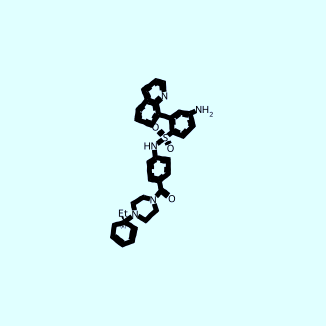 CC[C@]1(N2CCN(C(=O)c3ccc(NS(=O)(=O)c4ccc(N)cc4-c4cccc5cccnc45)cc3)CC2)C=CC=CC1